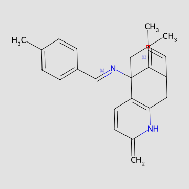 C=C1C=CC2=C(CC3C=C(C)CC2(/N=C/c2ccc(C)cc2)/C3=C/C)N1